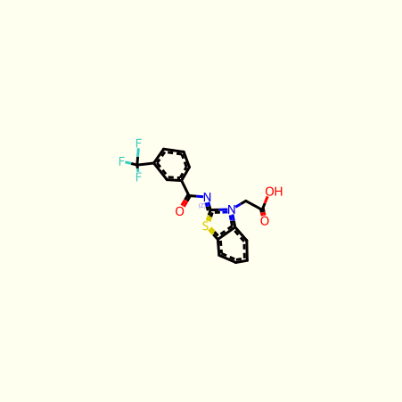 O=C(O)Cn1/c(=N/C(=O)c2cccc(C(F)(F)F)c2)sc2ccccc21